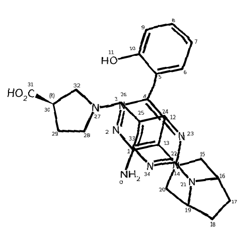 Nc1nnc(-c2ccccc2O)cc1N1CC2CCC(C1)N2c1ncc(CN2CC[C@@H](C(=O)O)C2)cn1